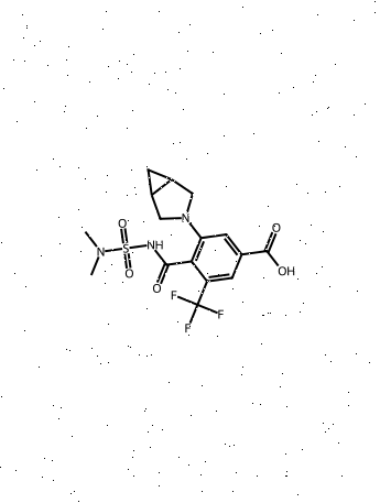 CN(C)S(=O)(=O)NC(=O)c1c(N2CC3CC3C2)cc(C(=O)O)cc1C(F)(F)F